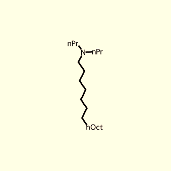 CCCCCCCCCCCCCCCN(CCC)CCC